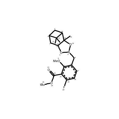 COc1c(CB2OC3CC4CC(C4(C)C)C3(C)O2)ccc(F)c1C(=O)OC(C)(C)C